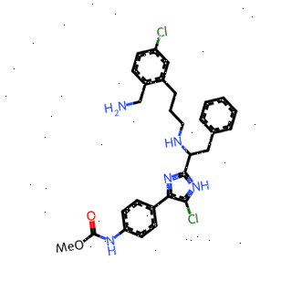 COC(=O)Nc1ccc(-c2nc(C(Cc3ccccc3)NCCCc3cc(Cl)ccc3CN)[nH]c2Cl)cc1